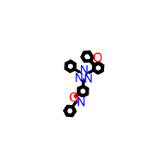 c1ccc(-c2nc(-c3ccc4nc(-c5ccccc5)oc4c3)nc(-c3cccc4oc5ccccc5c34)n2)cc1